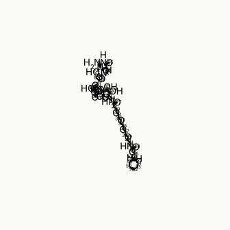 Nc1nc2c(ncn2[C@@H]2O[C@H](COP(=O)(O)OP(=O)(O)O[C@H]3OC(CNC(=O)CCOCCOCCOCCOCCNC(=O)OC[C@@H]4[C@@H]5CCC#CCC[C@@H]54)[C@@H](O)C(O)C3O)C[C@@H]2O)c(=O)[nH]1